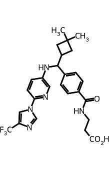 CC1(C)CC(C(Nc2ccc(-n3cnc(C(F)(F)F)c3)nc2)c2ccc(C(=O)NCCC(=O)O)cc2)C1